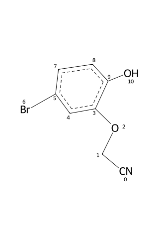 N#CCOc1cc(Br)ccc1O